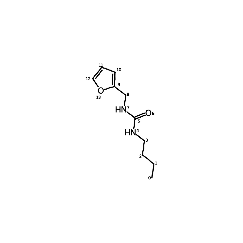 CCCCNC(=O)NCc1ccco1